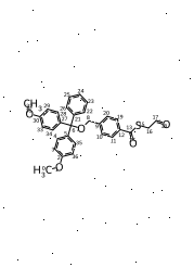 COc1ccc(C(OCc2ccc(C(=O)SC[C]=O)cc2)(c2ccccc2)c2ccc(OC)cc2)cc1